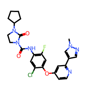 Cn1cc(-c2cc(Oc3cc(F)c(NC(=O)N4CCN(C5CCCC5)C4=O)cc3Cl)ccn2)cn1